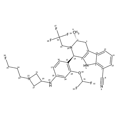 C[C@@H]1Cc2c([nH]c3c(C#N)cccc23)[C@@H](c2ccc(NC3CN(CCCF)C3)cc2OC(F)F)N1CC(F)(F)F